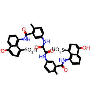 Cc1ccc(NC(=O)C(=O)Nc2ccc(C)c(C(=O)Nc3cccc4c(O)ccc(S(=O)(=O)O)c34)c2)cc1C(=O)Nc1cccc2c(O)ccc(S(=O)(=O)O)c12